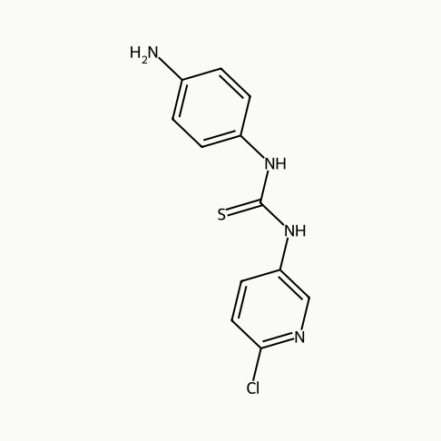 Nc1ccc(NC(=S)Nc2ccc(Cl)nc2)cc1